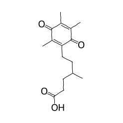 CC1=C(C)C(=O)C(CCC(C)CCC(=O)O)=C(C)C1=O